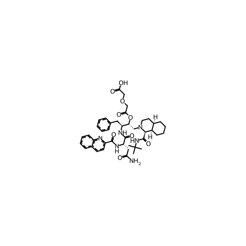 CC(C)(C)NC(=O)[C@@H]1[C@@H]2CCCC[C@@H]2CCN1C[C@@H](OC(=O)COCC(=O)O)[C@H](Cc1ccccc1)NC(=O)[C@H](CC(N)=O)NC(=O)c1ccc2ccccc2n1